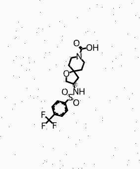 O=C(O)N1CCC2(CC1)C[C@@H](NS(=O)(=O)c1ccc(C(F)(F)F)cc1)CO2